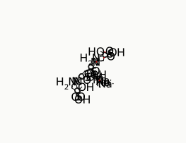 NC1(N=Nc2ccc(C=Cc3ccc(N=NC4(N)C=Cc5cc(S(=O)(=O)O)cc(O)c5C4)cc3S(=O)(=O)O)c(S(=O)(=O)O)c2)C=Cc2cc(S(=O)(=O)O)cc(O)c2C1.[Na].[Na].[Na].[Na]